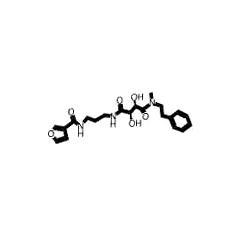 CN(CCc1ccccc1)C(=O)[C@H](O)[C@@H](O)C(=O)NCCCNC(=O)c1ccoc1